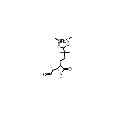 C[SiH2]OC(O[SiH2]C)C(C)(C)CC[C@@H]1C(=O)N[C@@H]1[C@@H](C)C=O